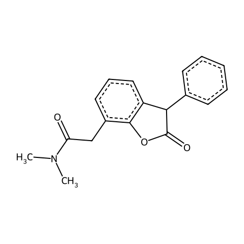 CN(C)C(=O)Cc1cccc2c1OC(=O)C2c1ccccc1